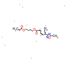 C=CC(=O)OCCCCOC(=O)/C=C\C=C/C(=C)c1noc(C)n1